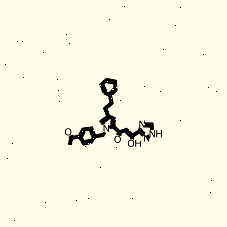 CC(=O)c1ccc(Cn2cc(CCc3ccccc3)cc2C(=O)C=C(O)c2nc[nH]n2)cc1